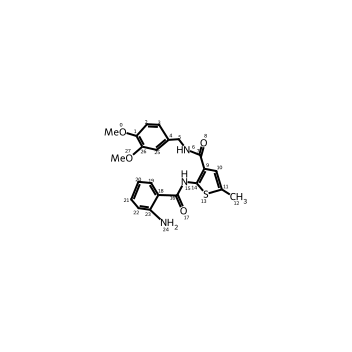 COc1ccc(CNC(=O)c2cc(C)sc2NC(=O)c2ccccc2N)cc1OC